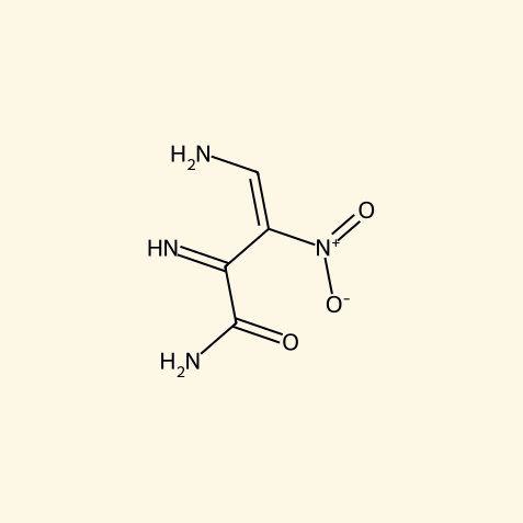 N=C(C(N)=O)/C(=C\N)[N+](=O)[O-]